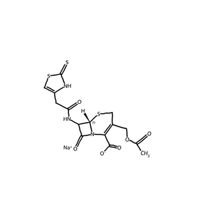 CC(=O)OCC1=C(C(=O)[O-])N2C(=O)C(NC(=O)Cc3csc(=S)[nH]3)[C@@H]2SC1.[Na+]